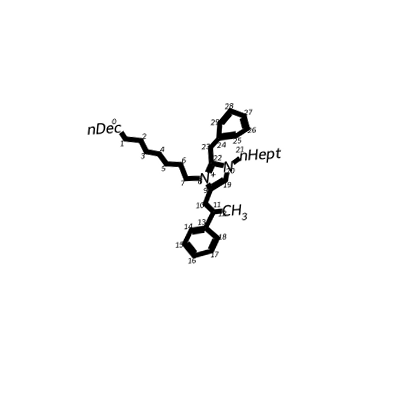 CCCCCCCCCCCCCCCCC[n+]1c(CC(C)c2ccccc2)cn(CCCCCCC)c1Cc1ccccc1